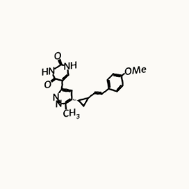 COc1ccc(/C=C/C2C[C@@H]2c2cc(-c3c[nH]c(=O)[nH]c3=O)nnc2C)cc1